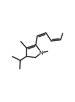 C/C=C\C=C/C1=C(C)C(C(C)C)CN1C